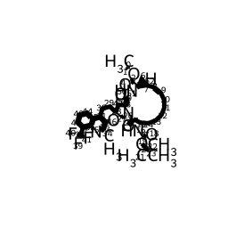 CCOC(=O)[C@@]12C[C@H]1/C=C\CCCCC[C@H](NC(=O)OC(C)(C)C)C(=O)N1C[C@@]3(CCc4c(c(C)nc5c(C(F)(F)F)cccc45)O3)C[C@H]1C(=O)N2